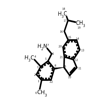 Cc1cc(C)c(CN)c([C@@H]2C=Cc3ccc(CC(C)C)cc32)c1